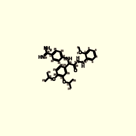 COc1ccccc1NNC(=O)C(Nc1ccc(C(=N)N)cc1)c1ccc(OC(C)C)c(OC(C)C)c1